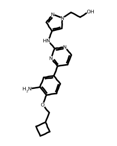 Nc1cc(-c2ccnc(Nc3cnn(CCO)c3)n2)ccc1OCC1CCC1